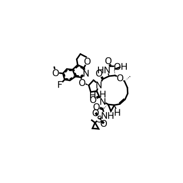 CC[C@@H]1O[C@H](C)CC/C=C\[C@@H]2C[C@@]2(C(=O)NS(=O)(=O)C2(C)CC2)NC(=O)[C@@H]2C[C@@H](Oc3nc4c(c5cc(OC)c(F)cc35)CCCO4)CN2C(=O)[C@H]1NC(=O)O